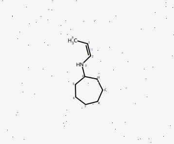 C/C=C\NC1CCCCCC1